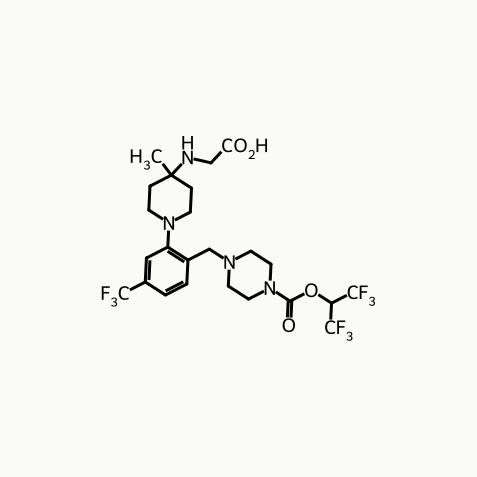 CC1(NCC(=O)O)CCN(c2cc(C(F)(F)F)ccc2CN2CCN(C(=O)OC(C(F)(F)F)C(F)(F)F)CC2)CC1